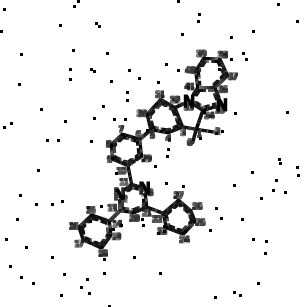 CC1(C)c2cc(-c3cccc(-c4nc(-c5ccccc5)cc(-c5ccccc5)n4)c3)ccc2-n2c1nc1ccccc12